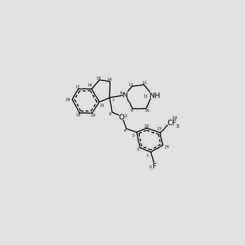 Fc1cc(COCC2(N3CCNCC3)CCc3ccccc32)cc(C(F)(F)F)c1